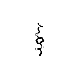 C=CC(=O)Oc1ccc(OCCN(C)C)cc1